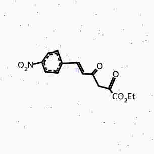 CCOC(=O)C(=O)CC(=O)/C=C/c1ccc([N+](=O)[O-])cc1